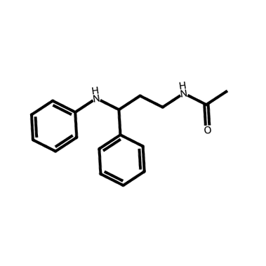 CC(=O)NCCC(Nc1ccccc1)c1ccccc1